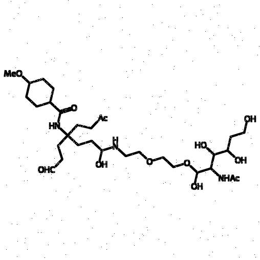 COC1CCC(C(=O)NC(CCC=O)(CCC(C)=O)CCC(O)NCCOCCOC(O)C(NC(C)=O)C(O)C(O)CCO)CC1